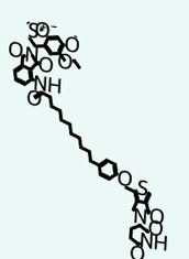 CCOc1cc(C(C[S+](C)[O-])N2C(=O)c3cccc(NC(=O)CCCCCCCCCCc4ccc(OCc5scc6c5CN(C5CCC(=O)NC5=O)C6=O)cc4)c3C2=O)ccc1OC